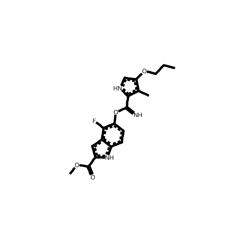 CCCOc1c[nH]c(C(=N)Oc2ccc3[nH]c(C(=O)OC)cc3c2F)c1C